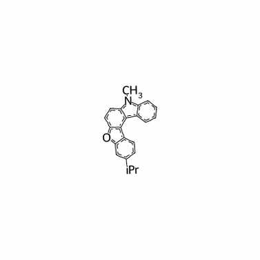 CC(C)c1ccc2c(c1)oc1ccc3c(c4ccccc4n3C)c12